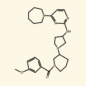 COc1cccc(C(=O)N2CCCC(N3CCC(Nc4nccc(N5CCCCCC5)n4)C3)C2)c1